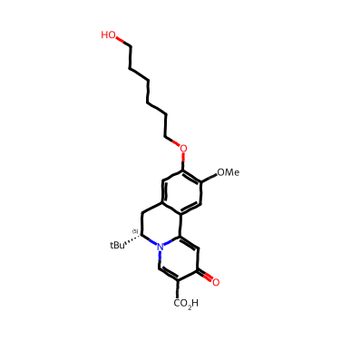 COc1cc2c(cc1OCCCCCCO)C[C@@H](C(C)(C)C)n1cc(C(=O)O)c(=O)cc1-2